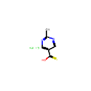 Cc1ncc(C(O)=S)cn1.Cl.Cl